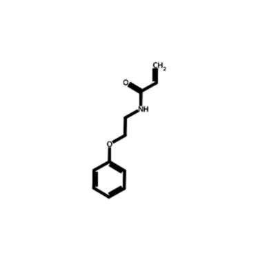 C=CC(=O)NCCOc1ccccc1